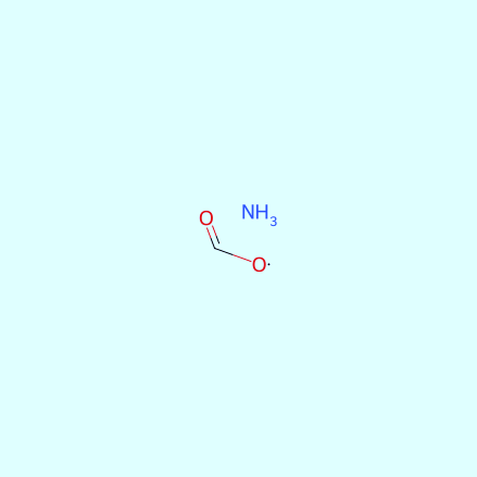 N.[O]C=O